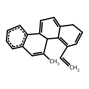 C=CC1=C2C(=CC=C3c4ccccc4C=C(C)C32)CC=C1